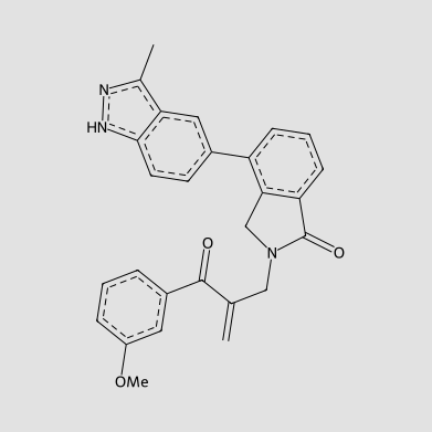 C=C(CN1Cc2c(cccc2-c2ccc3[nH]nc(C)c3c2)C1=O)C(=O)c1cccc(OC)c1